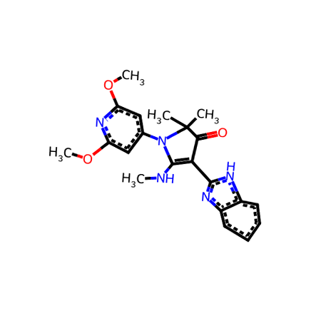 CNC1=C(c2nc3ccccc3[nH]2)C(=O)C(C)(C)N1c1cc(OC)nc(OC)c1